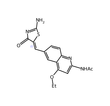 CCOc1cc(NC(C)=O)nc2ccc(/C=C3\SC(N)=NC3=O)cc12